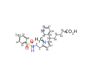 Cn1c(CCNS(=O)(=O)c2ccc(F)cc2)ccc1C(CCCCC(=O)O)c1cccnc1